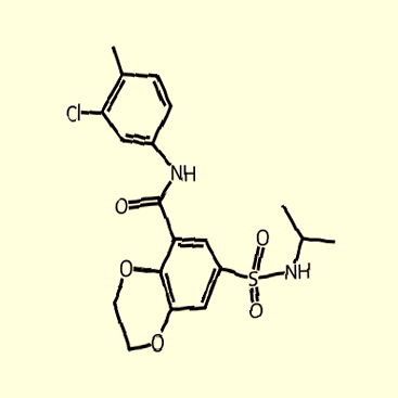 Cc1ccc(NC(=O)c2cc(S(=O)(=O)NC(C)C)cc3c2OCCO3)cc1Cl